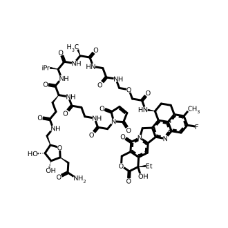 CC[C@@]1(O)C(=O)OCc2c1cc1n(c2=O)Cc2c-1nc1cc(F)c(C)c3c1c2[C@@H](NC(=O)COCNC(=O)CNC(=O)[C@H](C)NC(=O)[C@@H](NC(=O)[C@H](CCC(=O)NC[C@H]1O[C@@H](CC(N)=O)[C@H](O)[C@@H]1O)NC(=O)CCNC(=O)CN1C(=O)C=CC1=O)C(C)C)CC3